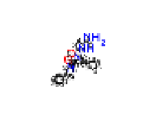 C[C@H](N)c1ccc(C(=O)N2C[C@@H](c3ccccc3)C[C@H]2C(=O)N2CC[C@H](c3ccccc3)C2)[nH]1